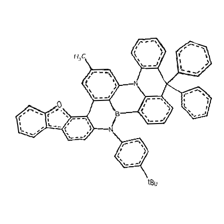 Cc1cc2c3c(c1)N1c4ccccc4C(c4ccccc4)(c4ccccc4)c4cccc(c41)B3N(c1ccc(C(C)(C)C)cc1)c1ccc3c(oc4ccccc43)c1-2